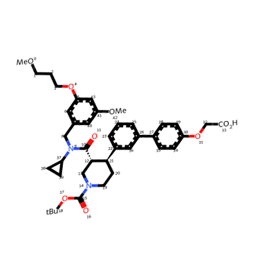 COCCCOc1cc(CN(C(=O)[C@H]2CN(C(=O)OC(C)(C)C)CC[C@@H]2c2cccc(-c3ccc(OCC(=O)O)cc3)c2)C2CC2)cc(OC)c1